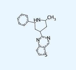 CC1CC(c2ncc3sccc3n2)CC(c2ccccc2)N1